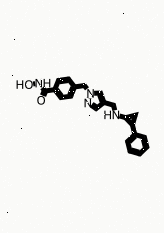 O=C(NO)c1ccc(Cn2cc(CNC3CC3c3ccccc3)cn2)cc1